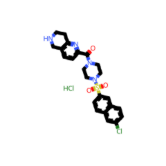 Cl.O=C(c1ccc2c(n1)CCNC2)N1CCN(S(=O)(=O)c2ccc3cc(Cl)ccc3c2)CC1